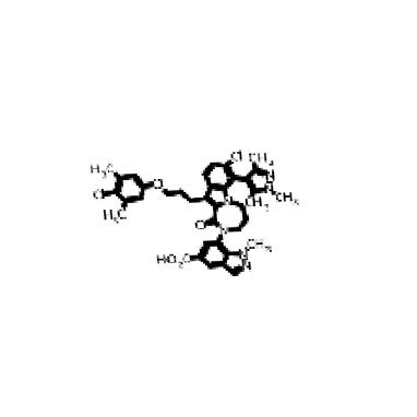 Cc1cc(OCCCc2c3n(c4c(-c5c(C)nn(C)c5C)c(Cl)ccc24)CCCN(c2cc(C(=O)O)cc4cnn(C)c24)C3=O)cc(C)c1Cl